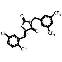 O=C1S/C(=C\c2cc(Cl)ccc2O)C(=O)N1Cc1cc(C(F)(F)F)cc(C(F)(F)F)c1